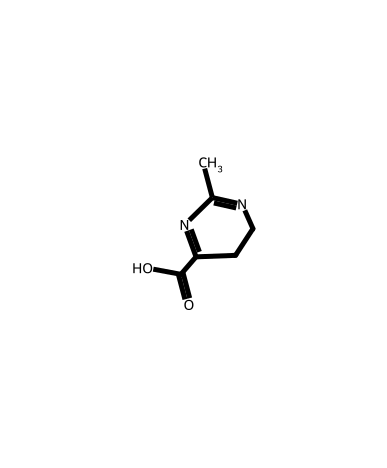 CC1=NCCC(C(=O)O)=N1